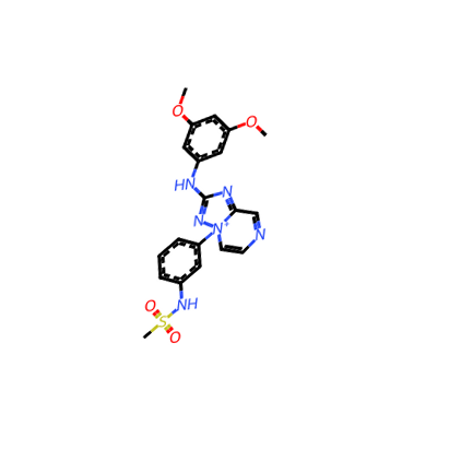 COc1cc(NC2=N[N+]3(c4cccc(NS(C)(=O)=O)c4)C=CN=CC3=N2)cc(OC)c1